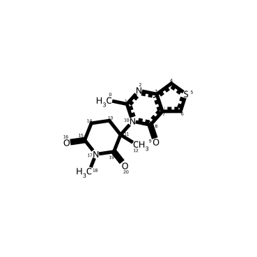 Cc1nc2cscc2c(=O)n1C1(C)CCC(=O)N(C)C1=O